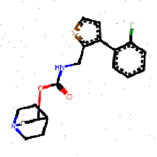 O=C(NCc1sccc1-c1ccccc1F)OC1CN2CCC1CC2